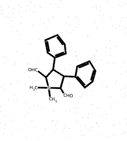 C[Si]1(C)C(C=O)C(c2ccccc2)C(c2ccccc2)C1C=O